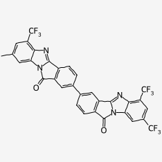 Cc1cc(C(F)(F)F)c2nc3n(c2c1)C(=O)c1cc(-c2ccc4c(c2)-c2nc5c(C(F)(F)F)cc(C(F)(F)F)cc5n2C4=O)ccc1-3